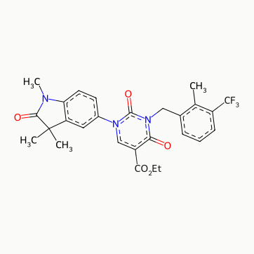 CCOC(=O)c1cn(-c2ccc3c(c2)C(C)(C)C(=O)N3C)c(=O)n(Cc2cccc(C(F)(F)F)c2C)c1=O